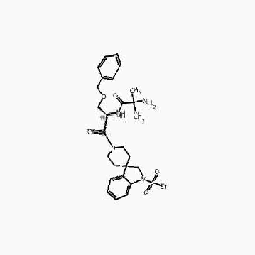 CCS(=O)(=O)N1CC2(CCN(C(=O)[C@@H](COCc3ccccc3)NC(=O)C(C)(C)N)CC2)c2ccccc21